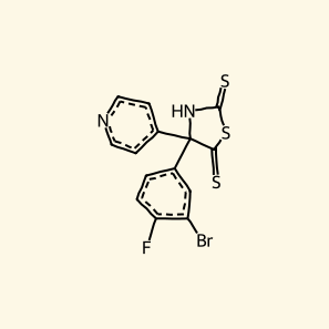 Fc1ccc(C2(c3ccncc3)NC(=S)SC2=S)cc1Br